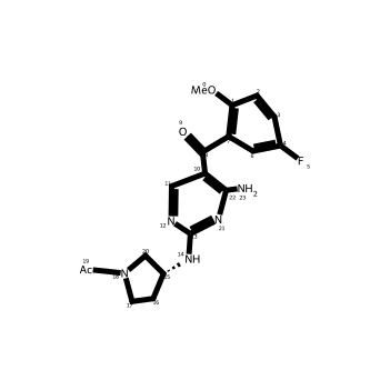 COc1ccc(F)cc1C(=O)c1cnc(N[C@@H]2CCN(C(C)=O)C2)nc1N